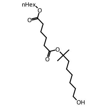 CCCCCCOC(=O)CCCCC(=O)OC(C)(C)CCCCCCO